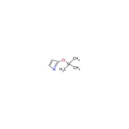 C[Si](C)(C)OC1=NC=C1